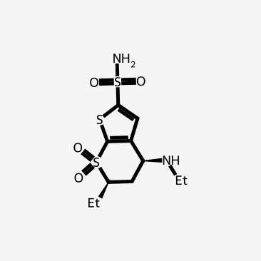 CCN[C@H]1C[C@@H](CC)S(=O)(=O)c2sc(S(N)(=O)=O)cc21